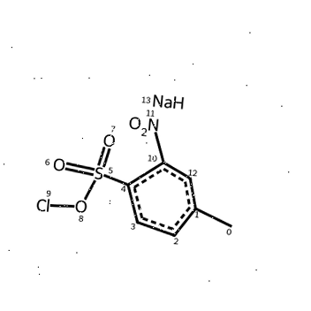 Cc1ccc(S(=O)(=O)OCl)c([N+](=O)[O-])c1.[NaH]